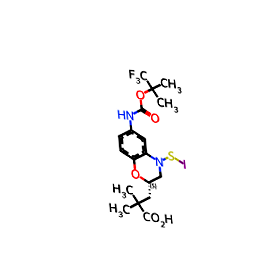 CC(C)(C[C@H]1CN(SI)c2cc(NC(=O)OC(C)(C)C(F)(F)F)ccc2O1)C(=O)O